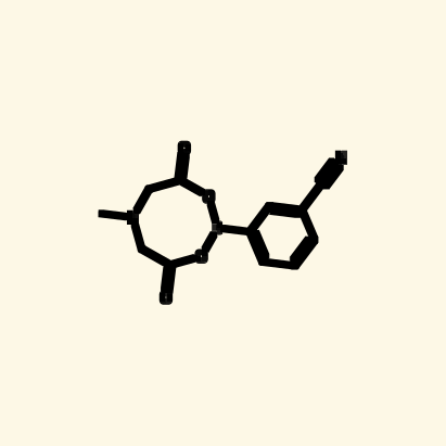 CN1CC(=O)OB(c2cccc(C#N)c2)OC(=O)C1